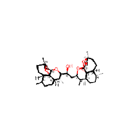 C[C@H]1[C@@H](C[C@H](O)C2O[C@@H]3C[C@]4(C)CC[C@H]5[C@H](C)CC[C@@H]([C@H]2C)[C@@]35OO4)O[C@@H]2C[C@]3(C)CC[C@H]4[C@H](C)CC[C@@H]1[C@@]24OO3